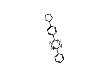 c1ccc(-c2nnc(-c3ccc(C4CCCC4)cc3)nn2)cc1